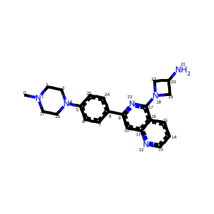 CN1CCN(c2ccc(-c3cc4ncccc4c(N4CC(N)C4)n3)cc2)CC1